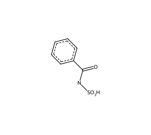 O=C([N]S(=O)(=O)O)c1ccccc1